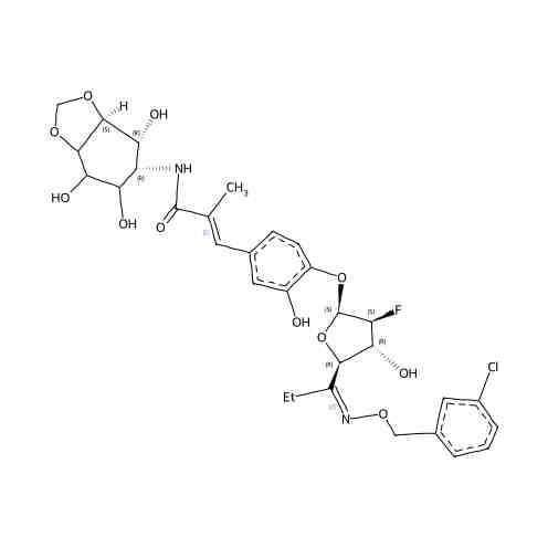 CC/C(=N/OCc1cccc(Cl)c1)[C@H]1O[C@@H](Oc2ccc(/C=C(\C)C(=O)N[C@@H]3C(O)C(O)C4OCO[C@H]4[C@@H]3O)cc2O)[C@@H](F)[C@@H]1O